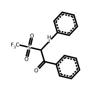 O=C(c1ccccc1)C([IH]c1ccccc1)S(=O)(=O)C(F)(F)F